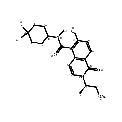 CC(=O)OC[C@@H](C)n1ccc2c(C(=O)N(C)C3CCC(F)(F)CC3)c(Cl)ccc2c1=O